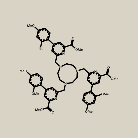 CCc1cc(OC)ccc1-c1cc(CN2CCN(Cc3cc(-c4ccc(OC)cc4OC)cc(C(=O)OC)n3)CCN(Cc3cc(-c4ccc(OC)cc4OC)cc(C(=O)OC)n3)CC2)nc(C(=O)OC)c1